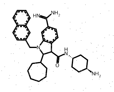 N=C(N)c1ccc2c(c1)N(Cc1ccc3ccccc3c1)C(C1CCCCCC1)C2C(=O)N[C@H]1CC[C@H](N)CC1